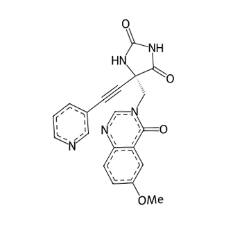 COc1ccc2ncn(C[C@]3(C#Cc4cccnc4)NC(=O)NC3=O)c(=O)c2c1